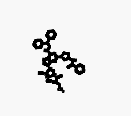 CCNC(=O)[C@H]1O[C@@H](n2cnc3c(NCC(c4ccccc4)c4ccccc4)nc(N4CCC(NC(=O)c5ccncc5)C4)nc32)[C@H](O)[C@@H]1O